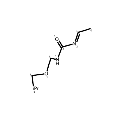 CC=NC(=O)NCOCC(C)C